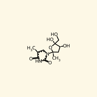 Cc1cn([C@@]2(C)C[C@H](O)[C@@](O)(CO)O2)c(=O)[nH]c1=O